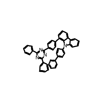 c1ccc(-c2ccc(-n3c4ccccc4c4cccc(-c5ccc(-c6nc(-c7ccccc7)nc(-c7ccccc7)n6)cc5)c43)cc2)cc1